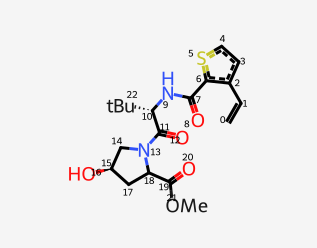 C=Cc1ccsc1C(=O)N[C@H](C(=O)N1C[C@H](O)CC1C(=O)OC)C(C)(C)C